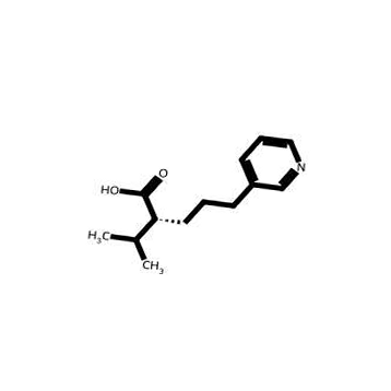 CC(C)[C@@H](CCCc1cccnc1)C(=O)O